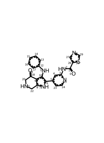 O=C(Nc1cc(-c2[nH]c3c(c2Nc2ccccc2)C(=O)CNC3)ccn1)c1cncs1